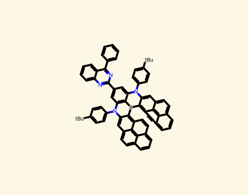 CC(C)(C)c1ccc(N2c3cc(-c4nc(-c5ccccc5)c5ccccc5n4)cc4c3B(c3c2cc2ccc5cccc6ccc3c2c56)c2c(cc3ccc5cccc6ccc2c3c56)N4c2ccc(C(C)(C)C)cc2)cc1